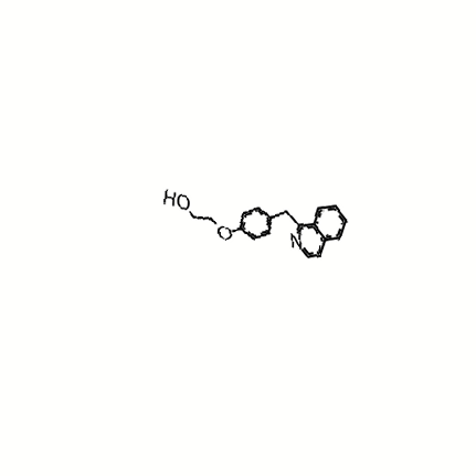 OCCOc1ccc(Cc2nccc3ccccc23)cc1